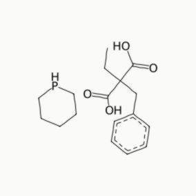 C1CCPCC1.CCC(Cc1ccccc1)(C(=O)O)C(=O)O